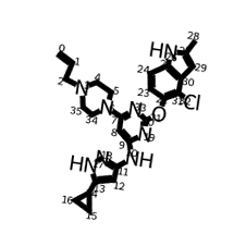 C=CCN1CCN(c2cc(Nc3cc(C4CC4)[nH]n3)nc(Oc3ccc4[nH]c(C)cc4c3Cl)n2)CC1